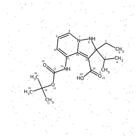 CCC1(C(C)C)NN2C=CC=C(NC(=O)OC(C)(C)C)C2=C1C(=O)O